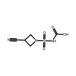 N#CC1CN(S(=O)(=O)NC(=O)O)C1